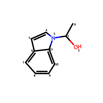 CC(O)n1ccc2ccccc21